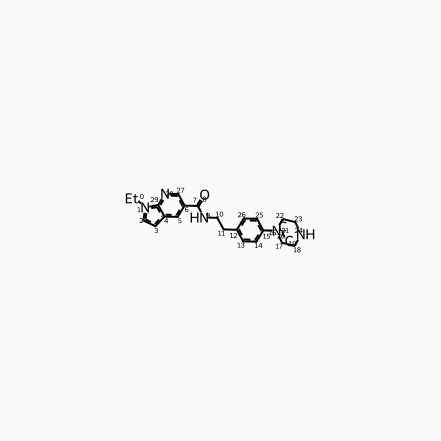 CCn1ccc2cc(C(=O)NCCc3ccc(N4CC5CCCC4CN5)cc3)cnc21